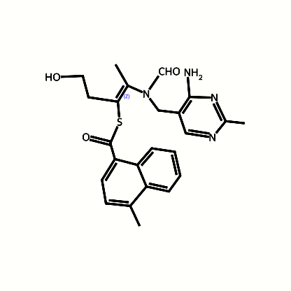 C/C(=C(\CCO)SC(=O)c1ccc(C)c2ccccc12)N(C=O)Cc1cnc(C)nc1N